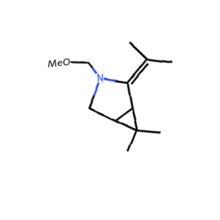 COCN1CC2C(C1=C(C)C)C2(C)C